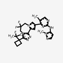 Cc1cnc(Nc2ccnn2C)nc1-c1cc2n(c1)CC(F)(F)Cn1c-2nnc1C1(C(C)(C)F)CCC1